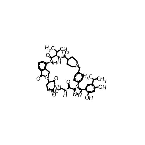 CCNC(=O)c1nnc(-c2cc(C(C)C)c(O)cc2O)n1-c1ccc(CN2CCC(C(=O)N[C@H](C(=O)Nc3cccc4c3CN(C3CCC(=O)NC3=O)C4=O)C(C)C)CC2)cc1